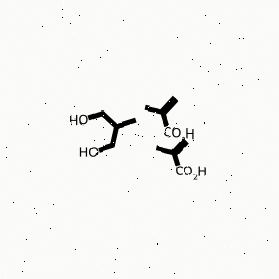 C=C(C)C(=O)O.C=C(C)C(=O)O.CC(CO)CO